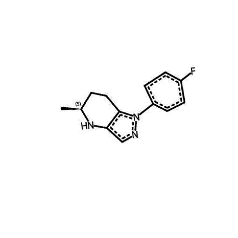 C[C@H]1CCc2c(cnn2-c2ccc(F)cc2)N1